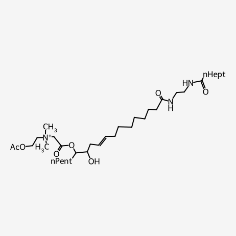 CCCCCCCC(=O)NCCNC(=O)CCCCCCCC=CCC(O)C(CCCCC)OC(=O)C[N+](C)(C)CCOC(C)=O